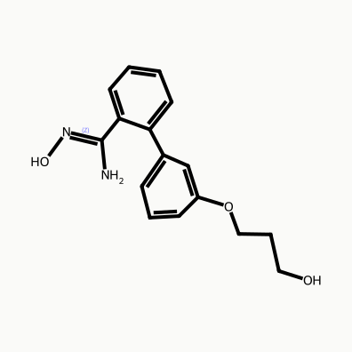 N/C(=N\O)c1ccccc1-c1cccc(OCCCO)c1